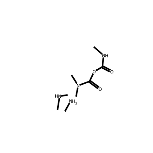 CN.CNC.CNC(=O)OC(=O)N(C)C